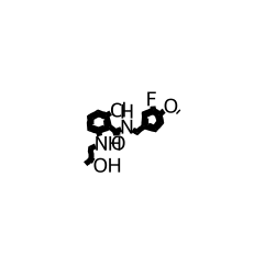 COc1ccc(CNC(=O)c2c(Cl)cccc2NCC(C)O)cc1F